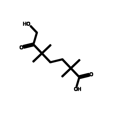 CC(C)(CCC(C)(C)C(=O)CO)C(=O)O